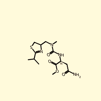 COC(=O)[C@H](CC(N)=O)NC(=O)N(C)CC1CSC(C(C)C)=N1